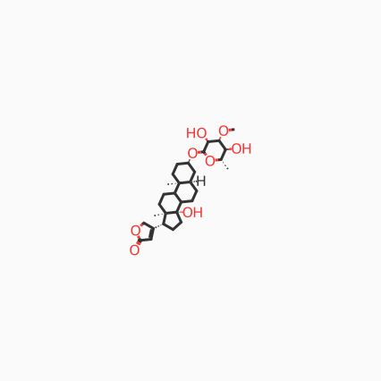 CO[C@@H]1[C@@H](O)[C@H](C)OC(O[C@H]2CC[C@]3(C)C4CC[C@]5(C)[C@@H](C6=CC(=O)OC6)CC[C@]5(O)C4CC[C@@H]3C2)[C@H]1O